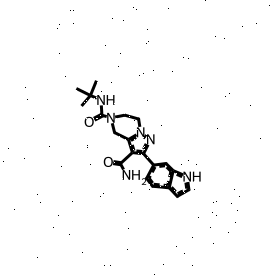 CC(C)(C)NC(=O)N1CCn2nc(-c3ccc4cc[nH]c4c3)c(C(N)=O)c2C1